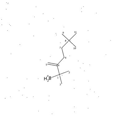 BC(C)(C)C(=C)CCC(C)(C)C